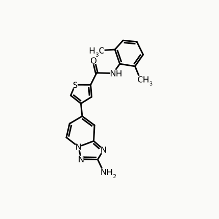 Cc1cccc(C)c1NC(=O)c1cc(-c2ccn3nc(N)nc3c2)cs1